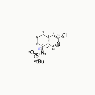 CC(C)(C)[S@+]([O-])/N=C1\CCCc2cc(Cl)ncc21